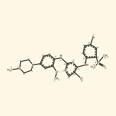 COc1cc(N2CCN(C)CC2)ccc1Nc1ncc(Cl)c(Nc2ccc(Br)cc2P(C)(C)=O)n1